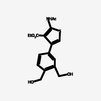 CCOC(=O)c1c(-c2ccc(CO)c(CO)c2)csc1NC(C)=O